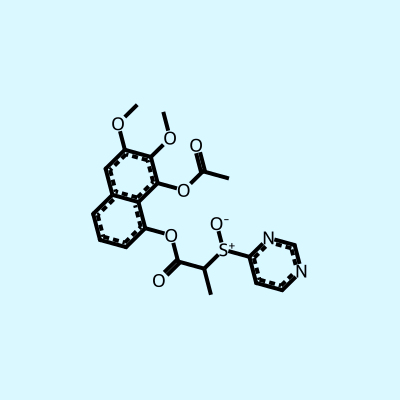 COc1cc2cccc(OC(=O)C(C)[S+]([O-])c3ccncn3)c2c(OC(C)=O)c1OC